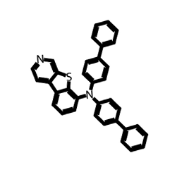 c1ccc(-c2ccc(N(c3ccc(-c4ccccc4)cc3)c3cccc4c3sc3cnccc34)cc2)cc1